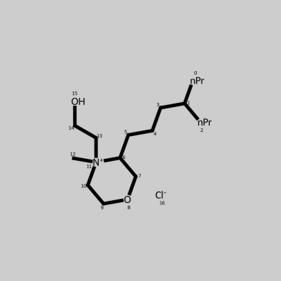 CCCC(CCC)CCCC1COCC[N+]1(C)CCO.[Cl-]